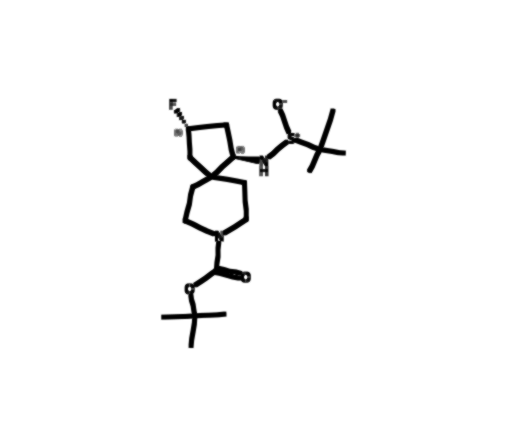 CC(C)(C)OC(=O)N1CCC2(CC1)C[C@H](F)C[C@H]2N[S+]([O-])C(C)(C)C